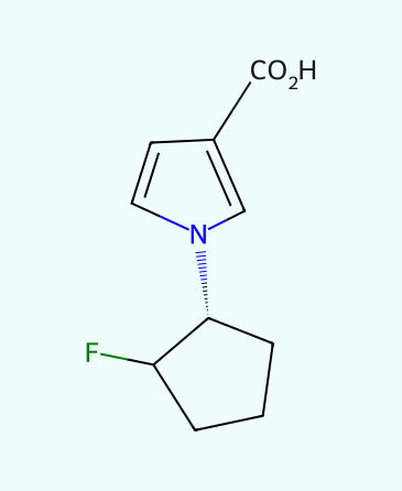 O=C(O)c1ccn([C@@H]2CCCC2F)c1